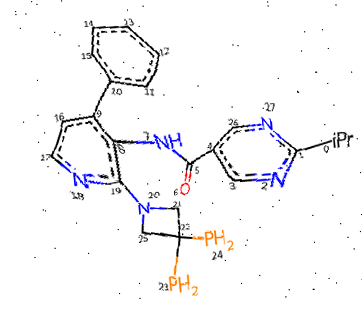 CC(C)c1ncc(C(=O)Nc2c(-c3ccccc3)ccnc2N2CC(P)(P)C2)cn1